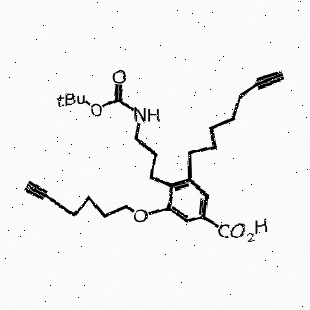 C#CCCCCCc1cc(C(=O)O)cc(OCCCCC#C)c1CCCNC(=O)OC(C)(C)C